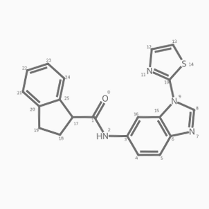 O=C(Nc1ccc2ncn(-c3nccs3)c2c1)C1CCc2ccccc21